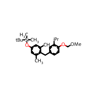 COCOc1ccc(Cc2c(C)cc(O[Si](C)(C)C(C)(C)C)cc2C)cc1C(C)C